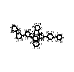 c1ccc(-c2ccc(-c3nc(-c4ccccc4)nc(-c4cccnc4-n4c5ccccc5c5cc(-c6cccc7c6sc6ccccc67)ccc54)n3)cc2)cc1